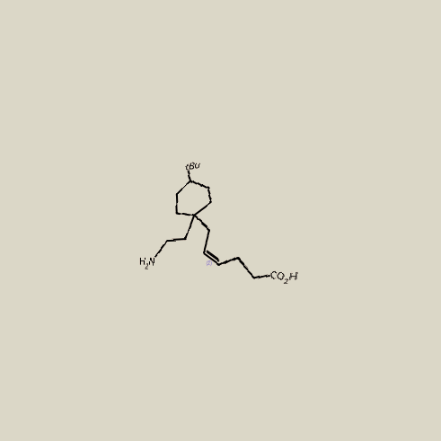 CC(C)(C)C1CCC(C/C=C\CCC(=O)O)(CCN)CC1